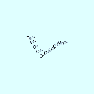 [Mn+2].[O-2].[O-2].[O-2].[O-2].[O-2].[O-2].[Ta+5].[V+5]